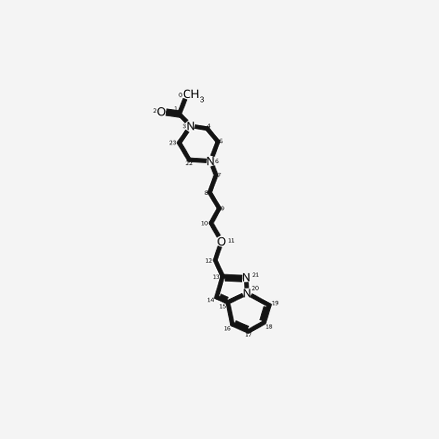 CC(=O)N1CCN(CCCCOCc2cc3ccccn3n2)CC1